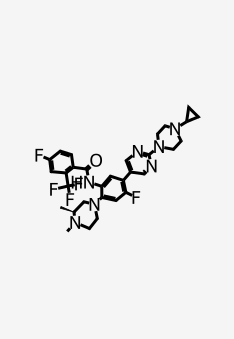 C[C@H]1CN(c2cc(F)c(-c3cnc(N4CCN(C5CC5)CC4)nc3)cc2NC(=O)c2ccc(F)cc2C(F)(F)F)CCN1C